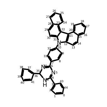 c1ccc(C2=NC(c3ccc(-n4c5ccc6ccccc6c5c5c6ccccc6ccc54)cc3)=NC(c3ccccc3)N2)cc1